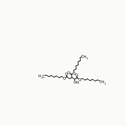 CCCCCCCCOC(=O)CC(C(=O)OCCCCCCCC)C(O)C(=O)OCCCCCCCC